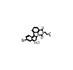 CN(C)CCn1c(=O)c2cccc3c4c5ccc(Br)cc5ccc4n(c1=O)c23.Cl